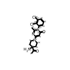 CC(=O)C1(N)CCN(c2cc(=O)n(-c3cccc(Cl)c3Cl)c(C)n2)CC1